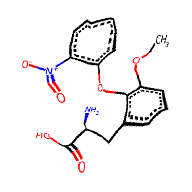 COc1cccc(C[C@H](N)C(=O)O)c1Oc1ccccc1[N+](=O)[O-]